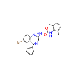 Cc1cccc(C)c1NC(=O)ONC1=Nc2ccc(Br)cc2C(c2ccccc2)=NC1